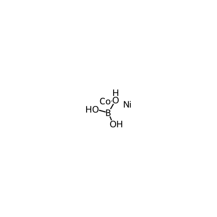 OB(O)O.[Co].[Ni]